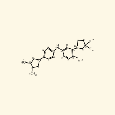 C[C@H]1CN(c2ccc(Nc3ncc(C(F)(F)F)c(N4CCC(F)(F)C4)n3)cc2)C[C@@H]1O